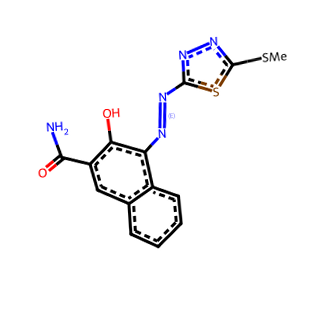 CSc1nnc(/N=N/c2c(O)c(C(N)=O)cc3ccccc23)s1